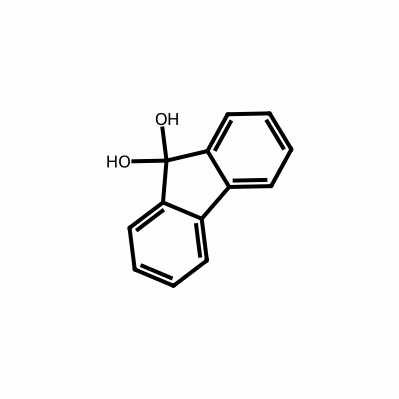 OC1(O)c2ccccc2-c2ccccc21